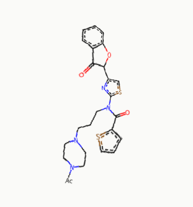 CC(=O)N1CCN(CCCN(C(=O)c2cccs2)c2nc(C3Oc4ccccc4C3=O)cs2)CC1